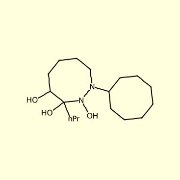 CCCC1(O)C(O)CCCCN(C2CCCCCCC2)N1O